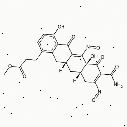 COC(=O)CCc1ccc(O)c2c1C[C@H]1C[C@H]3CC(N=O)=C(C(N)=O)C(=O)[C@@]3(O)C(N=O)=C1C2=O